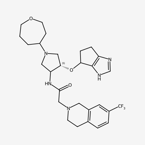 O=C(CN1CCc2ccc(C(F)(F)F)cc2C1)NC1CN(C2CCCOCC2)C[C@@H]1OC1CCc2nc[nH]c21